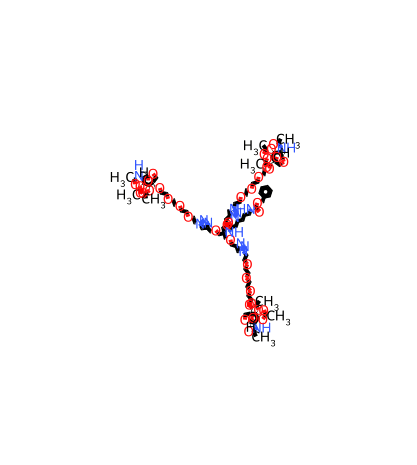 CC(=O)N[C@H]1[C@H]2OC[C@](COCCOCCOCCOCCn3cc(COCC(COCc4cn(CCOCCOCCOCCOC[C@@]56CO[C@@H](O5)[C@H](NC(C)=O)[C@@H](OC(C)=O)[C@H]6OC(C)=O)nn4)(COCc4cn(CCOCCOCCOCCOC[C@@]56CO[C@@H](O5)[C@H](NC(C)=O)[C@@H](OC(C)=O)[C@H]6OC(C)=O)nn4)NC(=O)CCCCCNC(=O)OCc4ccccc4)nn3)(O2)[C@H](OC(C)=O)[C@@H]1OC(C)=O